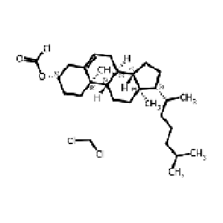 CC(C)CCCC(C)[C@H]1CC[C@H]2[C@@H]3CC=C4C[C@@H](OC(=O)Cl)CC[C@]4(C)[C@H]3CC[C@]12C.ClCCl